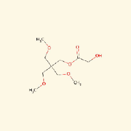 COCC(COC)(COC)COC(=O)CO